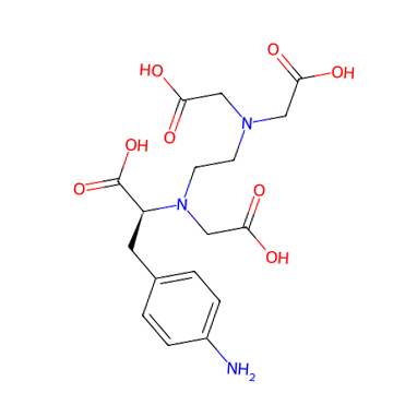 Nc1ccc(C[C@@H](C(=O)O)N(CCN(CC(=O)O)CC(=O)O)CC(=O)O)cc1